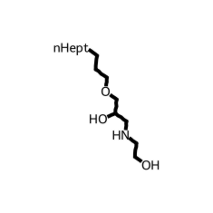 CCCCCCCCCCOCC(O)CNCCO